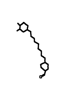 CC1CCC(CCCCCCCCCC2CCC(C=O)CC2)CC1C